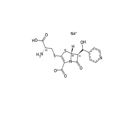 N[C@@H](CSC1=C(C(=O)[O-])N2C(=O)[C@H](C(O)c3ccncc3)[C@H]2S1)C(=O)O.[Na+]